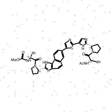 COC(=O)N[C@H](C(=O)N1CCC[C@H]1c1nc2ccc3cc(-c4cnc(-c5cnc([C@@H]6CCCN6C(=O)[C@@H](NC(C)=O)C(C)C)[nH]5)s4)ccc3c2[nH]1)C(C)C